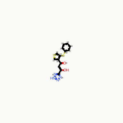 O=C(C=C(O)c1nn[nH]n1)c1cscc1Sc1ccccc1